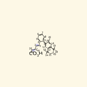 CC(/C=C/c1ccccc1-c1cc2c(cc1C)C(C)(C)CCC2(C)C)=C\C(=O)O